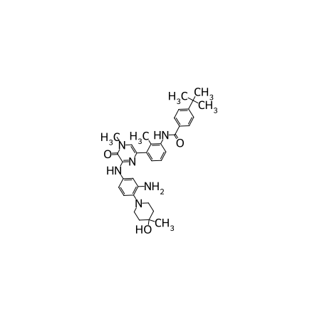 Cc1c(NC(=O)c2ccc(C(C)(C)C)cc2)cccc1-c1cn(C)c(=O)c(Nc2ccc(N3CCC(C)(O)CC3)c(N)c2)n1